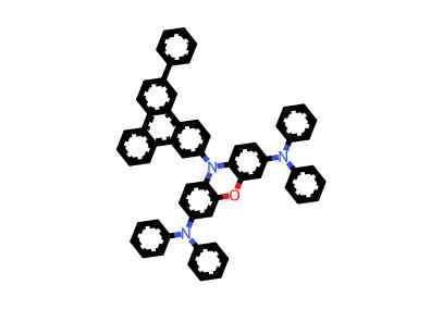 c1ccc(-c2ccc3c4ccccc4c4cc(N5c6ccc(N(c7ccccc7)c7ccccc7)cc6Oc6cc(N(c7ccccc7)c7ccccc7)ccc65)ccc4c3c2)cc1